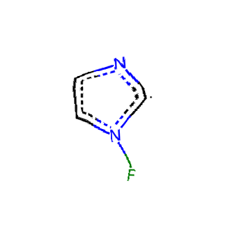 Fn1[c]ncc1